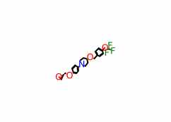 FC(F)(F)Oc1ccc(COC2CCN(c3ccc(OC[C@H]4CO4)cc3)CC2)cc1